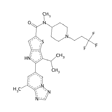 Cc1cc(-c2[nH]c3cc(C(=O)N(C)C4CCN(CCC(F)(F)F)CC4)sc3c2C(C)C)cn2ncnc12